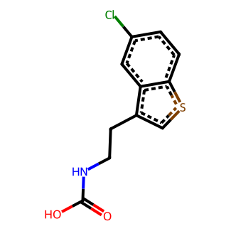 O=C(O)NCCc1csc2ccc(Cl)cc12